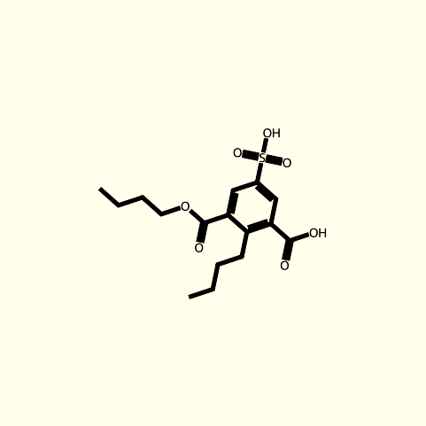 CCCCOC(=O)c1cc(S(=O)(=O)O)cc(C(=O)O)c1CCCC